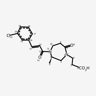 C[C@@H]1CN(CCC(=O)O)C(=O)CCN1C(=O)C=Cc1cccc(Cl)c1